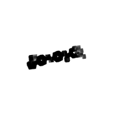 CCC(CC)C(=O)Oc1ccc(/N=N/c2ccc(-c3cccn3C)cc2)cc1